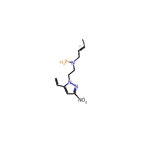 C=Cc1cc([N+](=O)[O-])nn1CCN(P)C/C=C/C